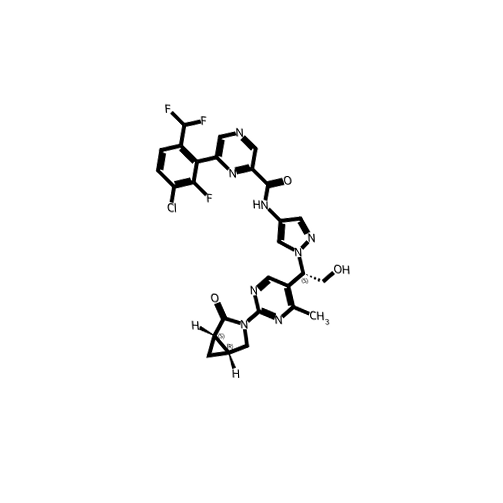 Cc1nc(N2C[C@@H]3C[C@@H]3C2=O)ncc1[C@@H](CO)n1cc(NC(=O)c2cncc(-c3c(C(F)F)ccc(Cl)c3F)n2)cn1